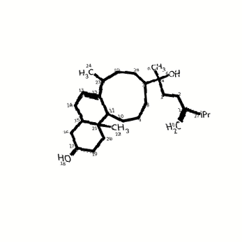 C=C(CCC(C)(O)C1CCCC2C(=CCC3CC(O)CCC32C)C(C)CC1)C(C)C